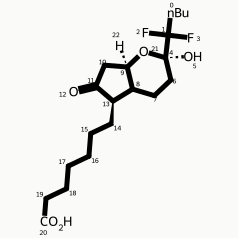 CCCCC(F)(F)[C@@]1(O)CCC2[C@@H](CC(=O)[C@@H]2CCCCCCC(=O)O)O1